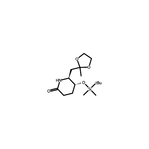 CC1(C[C@@H]2NC(=O)CC[C@H]2O[Si](C)(C)C(C)(C)C)OCCO1